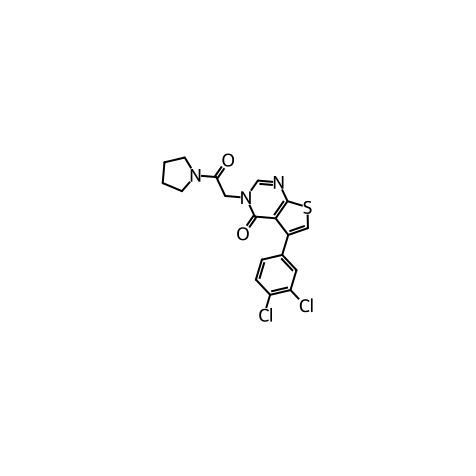 O=C(Cn1cnc2scc(-c3ccc(Cl)c(Cl)c3)c2c1=O)N1CCCC1